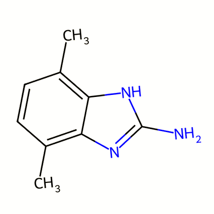 Cc1ccc(C)c2[nH]c(N)nc12